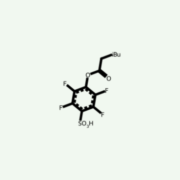 CCC(C)CC(=O)Oc1c(F)c(F)c(S(=O)(=O)O)c(F)c1F